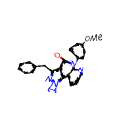 COc1ccc(-n2c(=O)c3c(Cc4ccccc4)n[nH]c3c3cccnc32)cc1